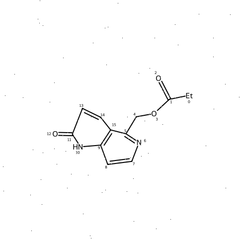 CCC(=O)OCc1nccc2[nH]c(=O)ccc12